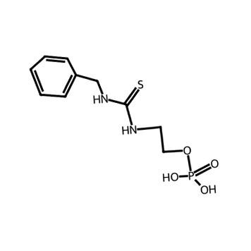 O=P(O)(O)OCCNC(=S)NCc1ccccc1